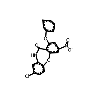 O=C1Nc2cc(Cl)ccc2Oc2cc([N+](=O)[O-])cc(Oc3ccccc3)c21